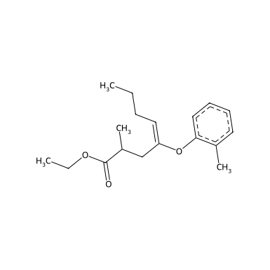 CCCC=C(CC(C)C(=O)OCC)Oc1ccccc1C